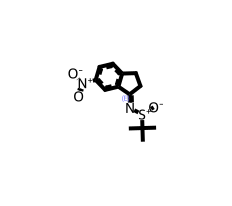 CC(C)(C)[S+]([O-])/N=C1\CCc2ccc([N+](=O)[O-])cc21